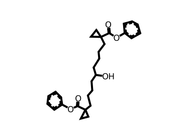 O=C(Oc1ccccc1)C1(CCCCC(O)CCCCC2(C(=O)Oc3ccccc3)CC2)CC1